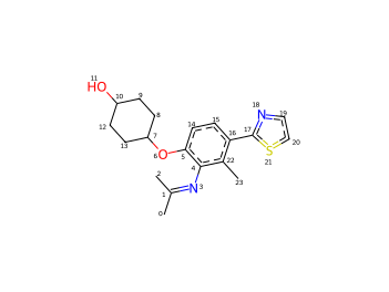 CC(C)=Nc1c(OC2CCC(O)CC2)ccc(-c2nccs2)c1C